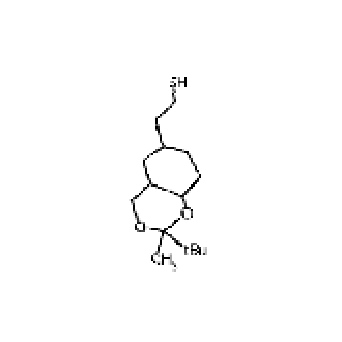 CC(C)(C)C1(C)OCC2CC(CCS)CCC2O1